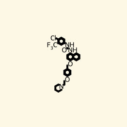 O=C(Nc1ccc(Cl)c(C(F)(F)F)c1)Nc1ccc(OCc2ccc(OCCN3CCCCC3)cc2)c2ccccc12